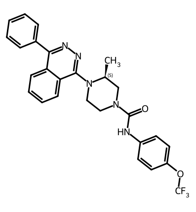 C[C@H]1CN(C(=O)Nc2ccc(OC(F)(F)F)cc2)CCN1c1nnc(-c2ccccc2)c2ccccc12